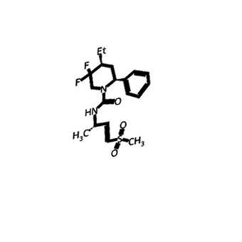 CC[C@H]1C[C@@H](c2ccccc2)N(C(=O)N[C@@H](C)/C=C/S(C)(=O)=O)CC1(F)F